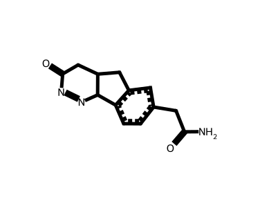 NC(=O)Cc1ccc2c(c1)CC1CC(=O)N=NC21